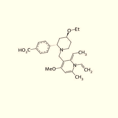 C=CN1C(C)=CC(OC)=C(CN2CC[C@H](OCC)C[C@H]2c2ccc(C(=O)O)cc2)/C1=C/C